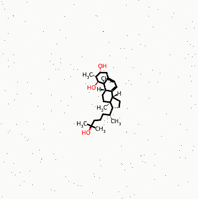 C[C@@H]1[C@H](O)CC2=CC=C3[C@@H]4CC[C@H]([C@H](C)CCCC(C)(C)O)[C@@]4(C)CC[C@@H]3[C@@]2(C)[C@H]1O